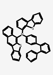 c1ccc(-c2ccccc2-c2ccc(N(c3cccc4c3sc3ccccc34)c3c4ccccc4cc4c3sc3ccccc34)cc2)cc1